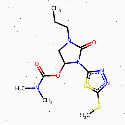 CCCN1CC(OC(=O)N(C)C)N(c2nnc(SC)s2)C1=O